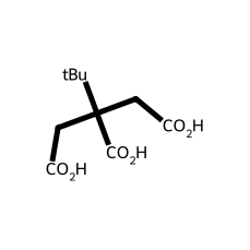 CC(C)(C)C(CC(=O)O)(CC(=O)O)C(=O)O